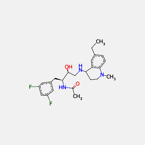 CCc1ccc2c(c1)C(NC[C@H](O)[C@H](Cc1cc(F)cc(F)c1)NC(C)=O)CCN2C